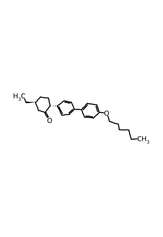 CCCCCCOc1ccc(-c2ccc([C@H]3CC[C@H](CC)CC3=O)cc2)cc1